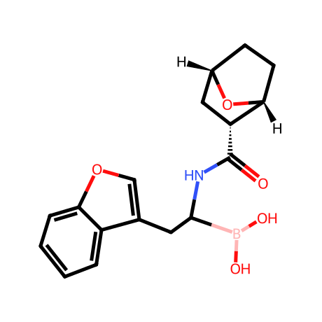 O=C(NC(Cc1coc2ccccc12)B(O)O)[C@@H]1C[C@@H]2CC[C@H]1O2